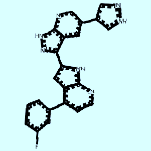 Fc1cccc(-c2ccnc3[nH]c(-c4n[nH]c5ncc(-c6cn[nH]c6)cc45)cc23)c1